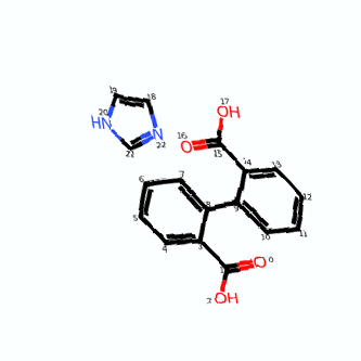 O=C(O)c1ccccc1-c1ccccc1C(=O)O.c1c[nH]cn1